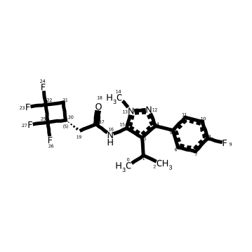 CC(C)c1c(-c2ccc(F)cc2)nn(C)c1NC(=O)C[C@H]1CC(F)(F)C1(F)F